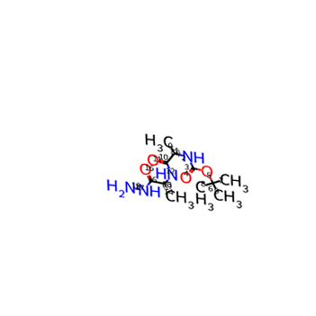 C[C@@H](NC(=O)OC(C)(C)C)C(=O)N[C@H](C)C(=O)NN